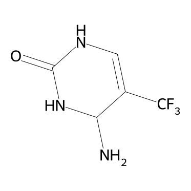 NC1NC(=O)NC=C1C(F)(F)F